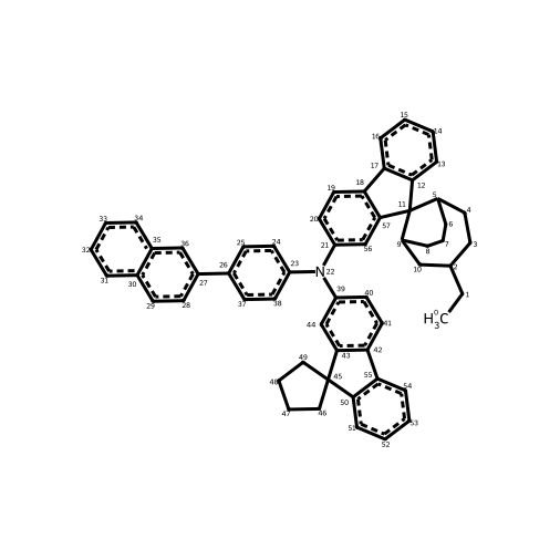 CCC1CCC2CCCC(C1)C21c2ccccc2-c2ccc(N(c3ccc(-c4ccc5ccccc5c4)cc3)c3ccc4c(c3)C3(CCCC3)c3ccccc3-4)cc21